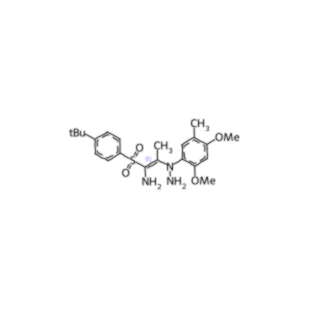 COc1cc(OC)c(N(N)/C(C)=C(\N)S(=O)(=O)c2ccc(C(C)(C)C)cc2)cc1C